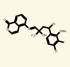 CCC(CC(O)(/C=N/c1cccc2c(=O)occc12)C(F)(F)F)c1ccc(Cl)c(F)c1OC